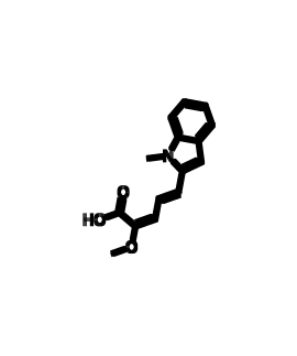 CO/C(=C/C=C/c1cc2ccccc2n1C)C(=O)O